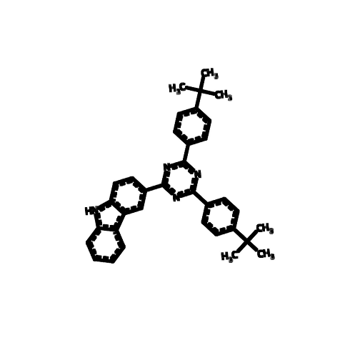 CC(C)(C)c1ccc(-c2nc(-c3ccc(C(C)(C)C)cc3)nc(-c3ccc4[nH]c5ccccc5c4c3)n2)cc1